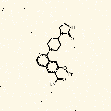 CC(C)Oc1cc2c(N3CCC(N4CCNC4=O)CC3)nccc2cc1C(N)=O